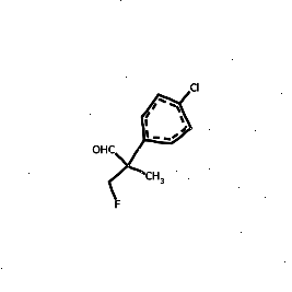 CC(C=O)(CF)c1ccc(Cl)cc1